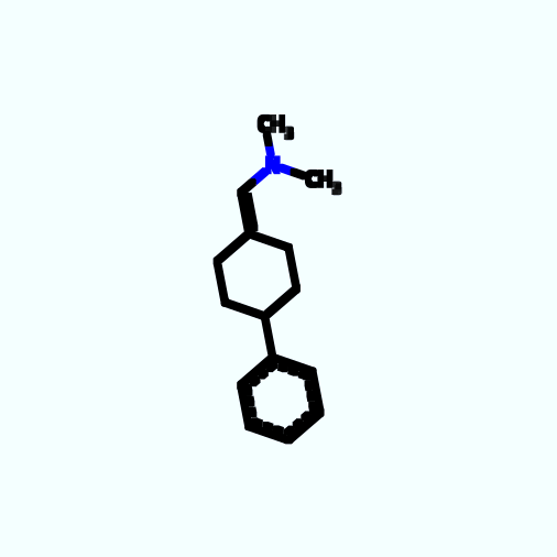 CN(C)C=C1CCC(c2ccccc2)CC1